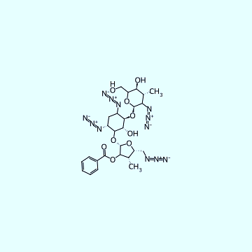 C[C@@H]1C(N=[N+]=[N-])[C@@H](O[C@@H]2C(N=[N+]=[N-])C[C@@H](N=[N+]=[N-])C(O[C@@H]3O[C@H](CN=[N+]=[N-])[C@H](C)C3OC(=O)c3ccccc3)[C@H]2O)OC(CO)[C@H]1O